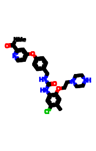 CNC(=O)c1cc(Oc2ccc(CNC(=O)Nc3cc(Cl)c(C)cc3OCCN3CCNCC3)cc2)ccn1